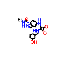 CCNC(=O)n1ncc2cc(Nc3c(NCc4cccc(O)c4)c(=O)c3=O)ccc21